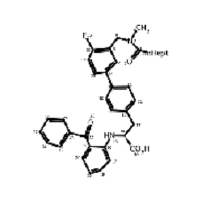 CCCCCCCC(=O)N(C)Cc1cc(-c2ccc(C[C@H](Nc3ccccc3C(=O)c3ccccc3)C(=O)O)cc2)ccc1F